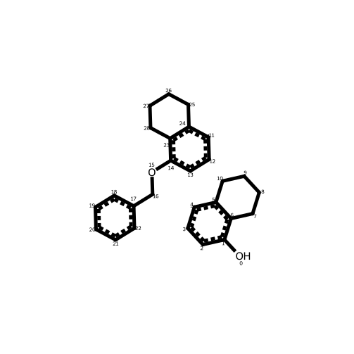 Oc1cc[c]c2c1CCCC2.[c]1ccc(OCc2ccccc2)c2c1CCCC2